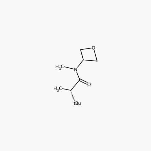 C[C@H](C(=O)N(C)C1COC1)C(C)(C)C